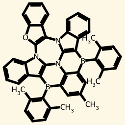 Cc1cc2c3c(c1)B(c1c(C)cccc1C)c1c4ccccc4n4c5c6ccccc6oc5n5c6ccccc6c(c5n-3c14)B2c1c(C)cccc1C